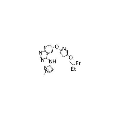 CCC(CC)COc1ccc(Oc2ccc3ncnc(Nc4ccn(C)n4)c3c2)nc1